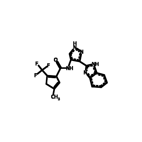 CC1=CC(C(=O)Nc2c[nH]nc2-c2nc3ccccc3[nH]2)=C(C(F)(F)F)C1